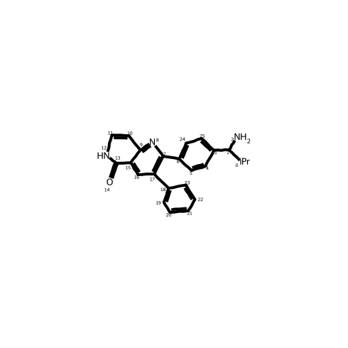 CC(C)C(N)c1ccc(-c2nc3cc[nH]c(=O)c3cc2-c2ccccc2)cc1